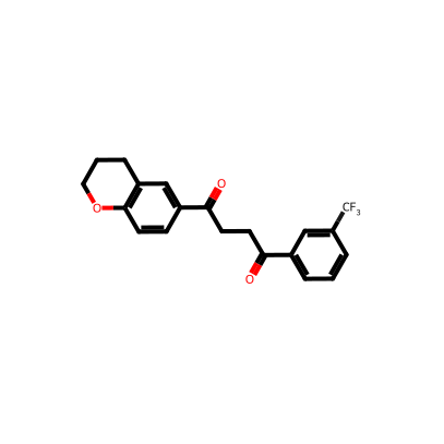 O=C(CCC(=O)c1ccc2c(c1)CCCO2)c1cccc(C(F)(F)F)c1